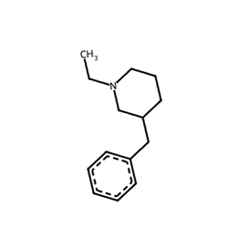 CCN1CCCC(Cc2ccccc2)C1